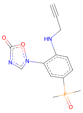 C#CCNc1ccc(P(C)(C)=O)cc1-n1cnc(=O)o1